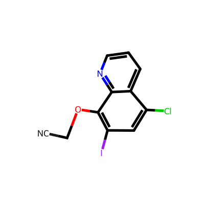 N#CCOc1c(I)cc(Cl)c2cccnc12